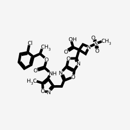 Cc1onc(Cc2nc3oc(C4(C(=O)O)CN(S(C)(=O)=O)C4)nc3o2)c1NC(=O)OC(C)c1ccccc1Cl